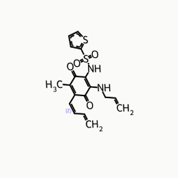 C=C/C=C\C1=C(C)C(=O)C(NS(=O)(=O)c2cccs2)=C(NCC=C)C1=O